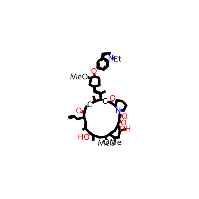 C=CCC1/C=C(\C)C(O)C(C)CC(OC)C2CC(O)(C(=O)C(=O)N3CCCCC3C(=O)CC(C(C)=CC3CCC(Oc4ccc5c(ccn5CC)c4)C(OC)C3)C(C)CCC1=O)C(C)CC2OC